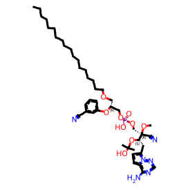 CCCCCCCCCCCCCCCCCCOC[C@H](COP(=O)(O)OC[C@@](C#N)(OC)[C@H](Cc1ccc2c(N)ncnn12)OC(C)(C)O)Oc1cccc(C#N)c1